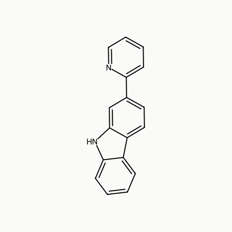 c1ccc(-c2ccc3c(c2)[nH]c2ccccc23)nc1